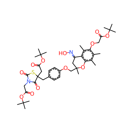 Cc1c(C)c2c(c(C)c1OCC(=O)OC(C)(C)C)C(=NO)CC(C)(COc1ccc(CC3(CC(=O)OC(C)(C)C)SC(=O)N(CC(=O)OC(C)(C)C)C3=O)cc1)O2